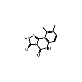 Cc1ccc2[nH]c(=O)n3c(=O)[nH]nc3c2c1C